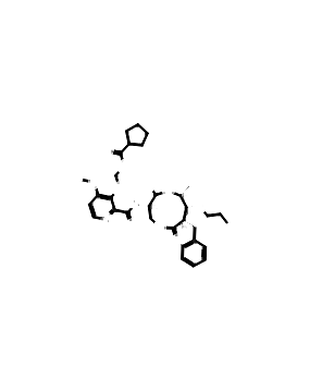 CCCO[C@H]1[C@H](C)OC(O)[C@@H](NC(=O)c2nccc(OC)c2OCOC(=O)C2CCCC2)COC(=O)[C@@H]1Cc1ccccc1